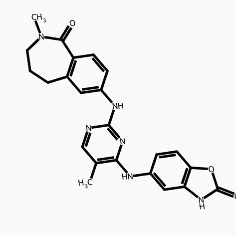 Cc1cnc(Nc2ccc3c(c2)CCCN(C)C3=O)nc1Nc1ccc2oc(=O)[nH]c2c1